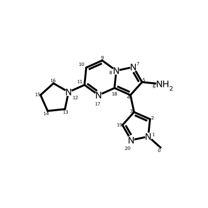 Cn1cc(-c2c(N)nn3ccc(N4CCCC4)nc23)cn1